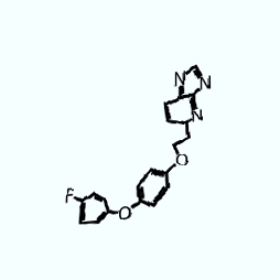 Fc1ccc(Oc2ccc(OCCC3C=CC4=NC=NC4=N3)cc2)cc1